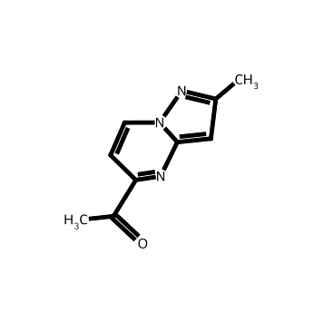 CC(=O)c1ccn2nc(C)cc2n1